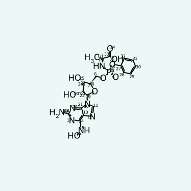 C[C@H](N[P@@](=O)(OC[C@H]1O[C@@H](n2cnc3c(NO)nc(N)nc32)[C@H](O)[C@@H]1O)Oc1ccccc1)C(=O)O